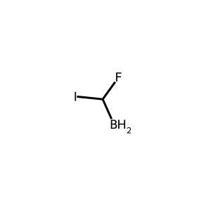 BC(F)I